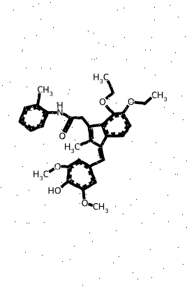 CCOc1ccc2c(c1OCC)C(CC(=O)Nc1ccccc1C)=C(C)C2=Cc1cc(OC)c(O)c(OC)c1